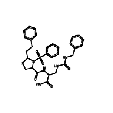 O=C(NCc1ccccc1)NCC(NC(=O)C1CSC(CCc2ccccc2)N1S(=O)(=O)c1ccccc1)C(=O)O